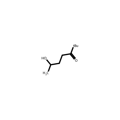 CC(O)CCC(=O)C(C)(C)C